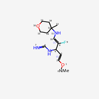 CNO/C=C/C(NC=N)/C(F)=C/NC1(C)CCOCC1